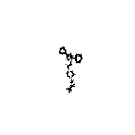 O=C(Cn1nc(-c2ccccc2)cc1-c1ccccc1)N1CCN(c2nnc(C(F)(F)F)s2)CC1